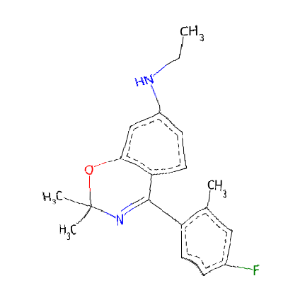 CCNc1ccc2c(c1)OC(C)(C)N=C2c1ccc(F)cc1C